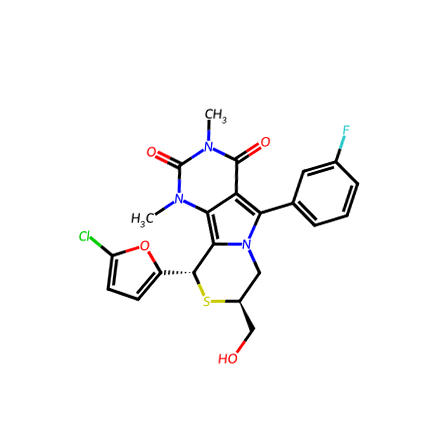 Cn1c(=O)c2c(-c3cccc(F)c3)n3c(c2n(C)c1=O)[C@@H](c1ccc(Cl)o1)S[C@H](CO)C3